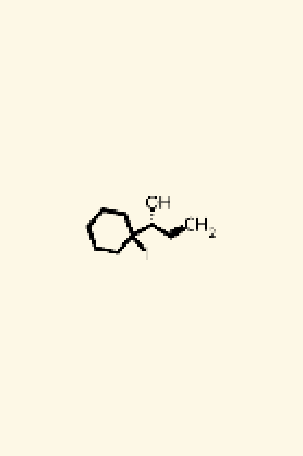 C=C[C@@H](O)C1(I)CCCCC1